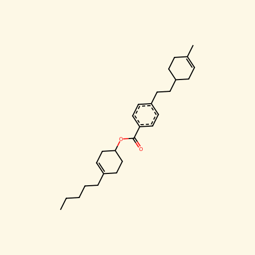 CCCCCC1=CCC(OC(=O)c2ccc(CCC3CC=C(C)CC3)cc2)CC1